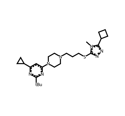 Cn1c(SCCCN2CCN(c3cc(C4CC4)nc(C(C)(C)C)n3)CC2)nnc1C1CCC1